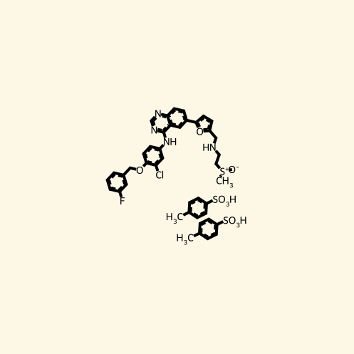 C[S+]([O-])CCNCc1ccc(-c2ccc3ncnc(Nc4ccc(OCc5cccc(F)c5)c(Cl)c4)c3c2)o1.Cc1ccc(S(=O)(=O)O)cc1.Cc1ccc(S(=O)(=O)O)cc1